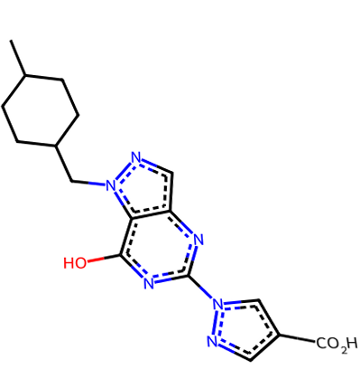 CC1CCC(Cn2ncc3nc(-n4cc(C(=O)O)cn4)nc(O)c32)CC1